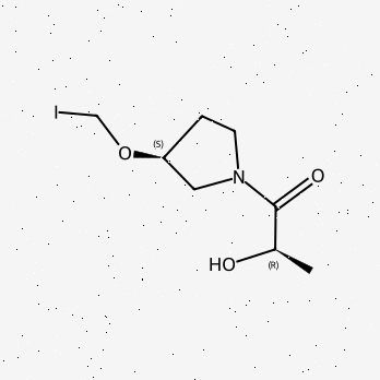 C[C@@H](O)C(=O)N1CC[C@H](OCI)C1